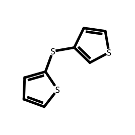 c1csc(Sc2ccsc2)c1